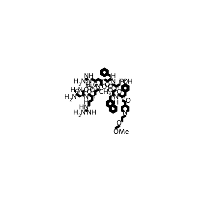 COCCOCCCN1CCC(C(=O)C[C@@H](Cc2ccc(O)cc2)C(=O)N[C@@H](Cc2ccc3ccccc3c2)C(=O)C[C@@H](CC(C)C)C(=O)N[C@@H](Cc2ccccc2)C(=O)C[C@@H](CCCNC(=N)N)C(=O)N(C)[C@@H](C)C(=O)C[C@@H](CCCNC(=N)N)C(=O)N[C@@H](CC(N)=O)C(N)=O)CC1